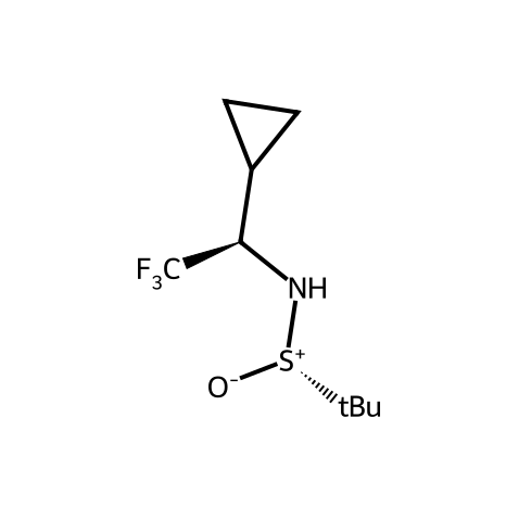 CC(C)(C)[S@+]([O-])N[C@H](C1CC1)C(F)(F)F